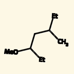 [CH2]OC(CC)CC(C)CC